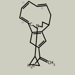 C=C(C)C1=CC2=C(C1)/C1=C/C=C\C=C\CC2CCN(C2CC2)CC1